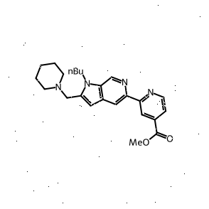 CCCCn1c(CN2CCCCC2)cc2cc(-c3cc(C(=O)OC)ccn3)ncc21